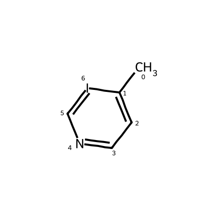 CC1=CC=NC=I1